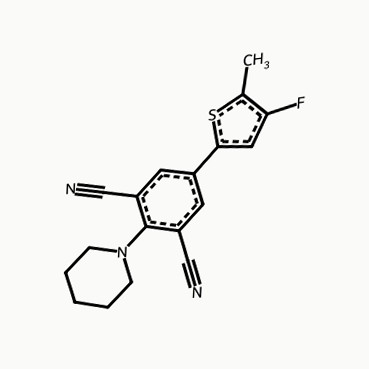 Cc1sc(-c2cc(C#N)c(N3CCCCC3)c(C#N)c2)cc1F